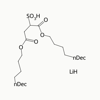 CCCCCCCCCCCCCCOC(=O)CC(C(=O)OCCCCCCCCCCCCCC)S(=O)(=O)O.[LiH]